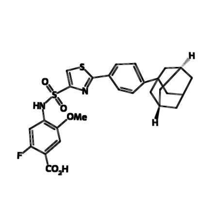 COc1cc(C(=O)O)c(F)cc1NS(=O)(=O)c1csc(-c2ccc(C34CC5C[C@H](C3)C[C@H](C5)C4)cc2)n1